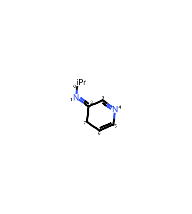 CC(C)N=C1C=NC=CC1